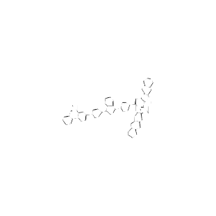 c1ccc2cc3cc4c(cc3cc2c1)nc1c2sc3cc5ccccc5cc3c2cc(-c2ccc(-c3ccc(-c5ccc(-c6ccc7c(c6)ncc6ccccc67)cc5)c5ccccc35)cc2)n41